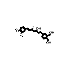 COc1ccc(/C=C/C(=O)/C=C(O)/C=C/c2ccc(CO)c(CO)c2)cc1OC